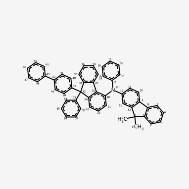 CC1(C)c2ccccc2-c2ccc(N(c3ccccc3)c3cccc4c3-c3ccccc3C4(c3ccccc3)c3ccc(-c4ccccc4)cc3)cc21